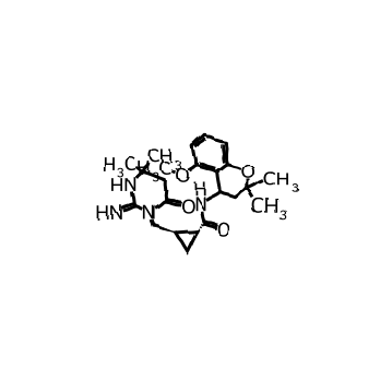 COc1cccc2c1C(NC(=O)[C@@H]1C[C@H]1CN1C(=N)NC(C)(C)CC1=O)CC(C)(C)O2